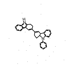 C1=C(C2=CC3c4ccccc4N(c4ccccc4)C3CC2)CCc2[nH]c3ccccc3c21